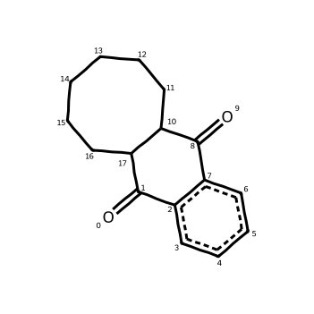 O=C1c2ccccc2C(=O)C2CCCCCCC12